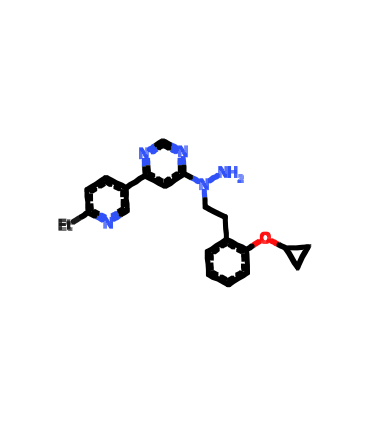 CCc1ccc(-c2cc(N(N)CCc3ccccc3OC3CC3)ncn2)cn1